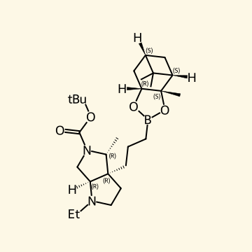 CCN1CC[C@@]2(CCCB3O[C@@H]4C[C@@H]5C[C@@H](C5(C)C)[C@]4(C)O3)[C@@H]1CN(C(=O)OC(C)(C)C)[C@@H]2C